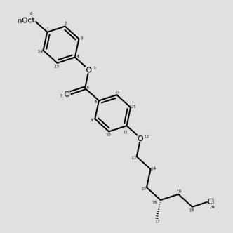 CCCCCCCCc1ccc(OC(=O)c2ccc(OCCC[C@@H](C)CCCl)cc2)cc1